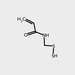 C=CC(=O)NCSS